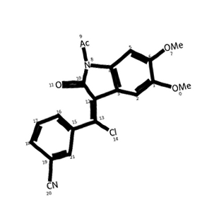 COc1cc2c(cc1OC)N(C(C)=O)C(=O)C2=C(Cl)c1cccc(C#N)c1